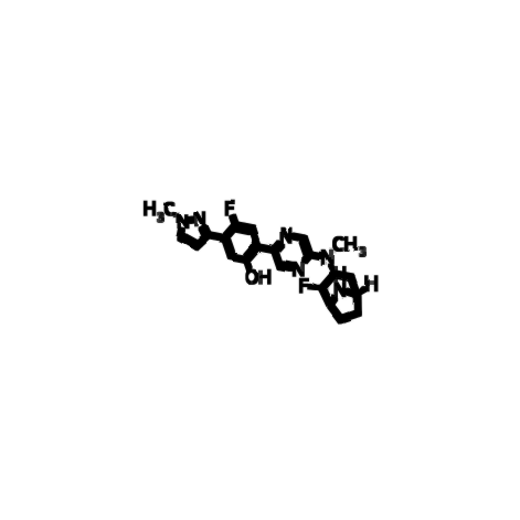 CN(c1cnc(-c2cc(F)c(-c3ccn(C)n3)cc2O)cn1)[C@H]1C[C@@H]2CCC(N2)[C@H]1F